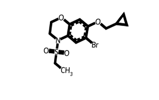 CCS(=O)(=O)N1CCOc2cc(OCC3CC3)c(Br)cc21